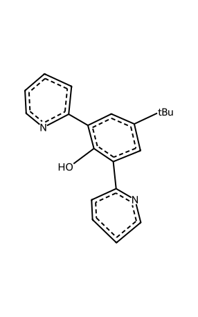 CC(C)(C)c1cc(-c2ccccn2)c(O)c(-c2ccccn2)c1